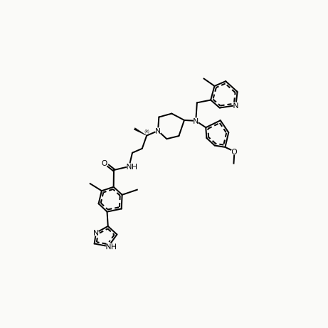 COc1ccc(N(Cc2cnccc2C)C2CCN([C@H](C)CCNC(=O)c3c(C)cc(-c4c[nH]cn4)cc3C)CC2)cc1